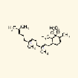 COC1(OC)C(C)=CCC(C/C=C(\C)CC/C=C(\C)CCC=C(C)C)C1C